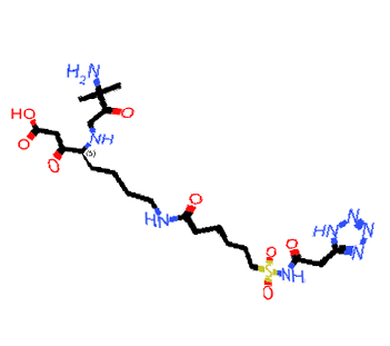 CC(C)(N)C(=O)CN[C@@H](CCCCNC(=O)CCCCCS(=O)(=O)NC(=O)Cc1nnn[nH]1)C(=O)CC(=O)O